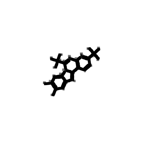 Cc1cc2nc3c4ccc(C(C)(C)C)nc4nc(C(C)(C)C)n3c2cc1C